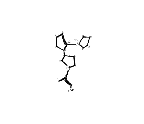 CC(=O)/C=C(\C)N1CCC(C2CCC=C2N2CCCC2)C1